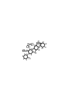 Cc1ccccc1-c1cc2c(cc1C(C)(C)C)-c1cc(C(C)(C)C)c(-c3ccccc3C)cc1[CH]2.[Cl][Zr][Cl]